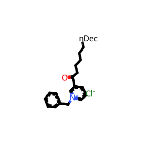 CCCCCCCCCCCCCCCC(=O)c1ccc[n+](Cc2ccccc2)c1.[Cl-]